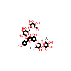 C[C@@H]1O[C@@H](O[C@@H]2[C@@H](O)[C@H](C)O[C@@H](Oc3cc(O)c4c(=O)c(O[C@@H]5O[C@H](CO[C@@H]6O[C@H](CO)[C@H](O)[C@H](O)[C@H]6O)[C@@H](O)[C@H](O)[C@H]5O)c(-c5ccc(O)cc5)oc4c3)[C@@H]2O)[C@H](O)[C@H](O)[C@H]1O